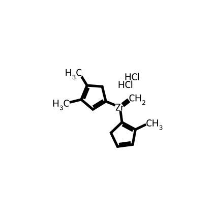 Cl.Cl.[CH2]=[Zr]([C]1=CC(C)=C(C)C1)[C]1=C(C)C=CC1